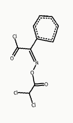 O=C(Cl)C(=NOC(=O)C(Cl)Cl)c1ccccc1